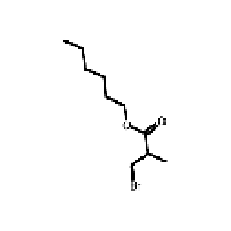 CCCCCCOC(=O)C(C)CBr